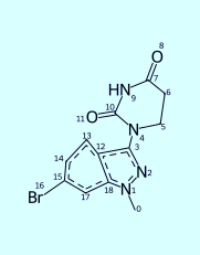 Cn1nc(N2CCC(=O)NC2=O)c2ccc(Br)cc21